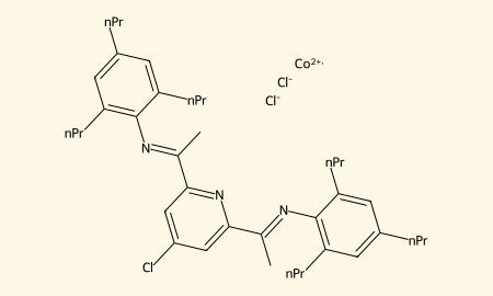 CCCc1cc(CCC)c(N=C(C)c2cc(Cl)cc(C(C)=Nc3c(CCC)cc(CCC)cc3CCC)n2)c(CCC)c1.[Cl-].[Cl-].[Co+2]